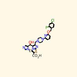 CCn1cncc1C(O)c1c(CN2CCN(c3cccc(OCc4ccc(Cl)cc4F)n3)CC2)nc2sc(C(=O)O)cn12